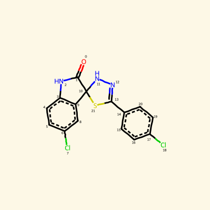 O=C1Nc2ccc(Cl)cc2C12NN=C(c1ccc(Cl)cc1)S2